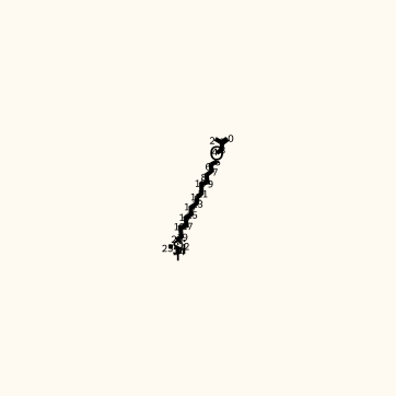 C=C(C)COCCCCCCCCCCCCCCCC[Si](C)(C)I